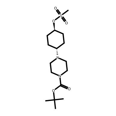 CC(C)(C)OC(=O)N1CCN([C@H]2CC[C@H](OS(C)(=O)=O)CC2)CC1